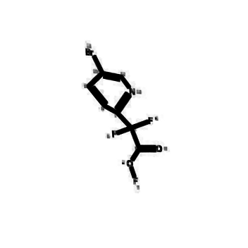 O=C(OF)C(F)(F)c1ccc(Br)cn1